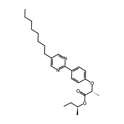 CCCCCCCCc1cnc(-c2ccc(O[C@H](C)C(=O)O[C@@H](C)CC)cc2)nc1